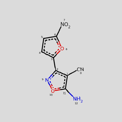 N#Cc1c(-c2ccc([N+](=O)[O-])o2)noc1N